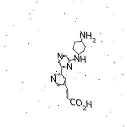 NC1CCC(Nc2cncc(-c3cncc(C=CC(=O)O)c3)n2)CC1